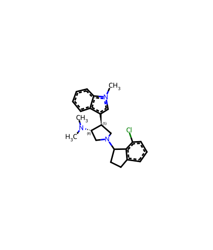 CN(C)[C@H]1CN(C2CCc3cccc(Cl)c32)C[C@@H]1c1cn(C)c2ccccc12